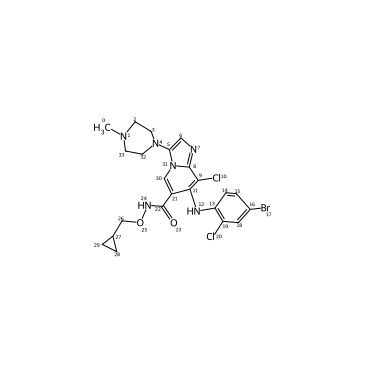 CN1CCN(c2cnc3c(Cl)c(Nc4ccc(Br)cc4Cl)c(C(=O)NOCC4CC4)cn23)CC1